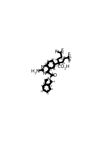 Nc1nc(C(=O)n2cc3ccccc3c2)c2cc(C(CCC(F)F)(CCC(F)F)C(=O)O)ccc2n1